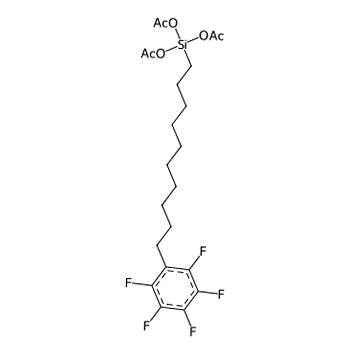 CC(=O)O[Si](CCCCCCCCCCc1c(F)c(F)c(F)c(F)c1F)(OC(C)=O)OC(C)=O